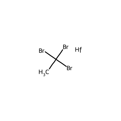 CC(Br)(Br)Br.[Hf]